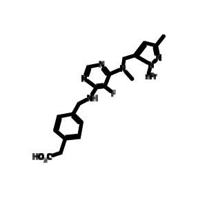 CCCn1nc(C)cc1CN(C)c1ncnc(NCc2ccc(CC(=O)O)cc2)c1F